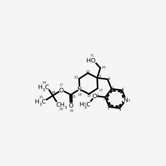 COc1ccncc1CC1(CO)CCN(C(=O)OC(C)(C)C)CC1